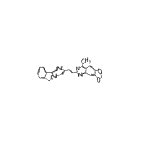 Cc1nc(C=Cc2cn3c(n2)-c2ccccc2C3)nc2cc3c(cc12)OCO3